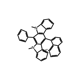 Cn1c2ccccc2c2c(-c3cccc4cccc(C#N)c34)c3c4ccccc4n(C)c3c(-c3ccccc3)c21